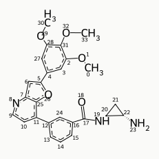 COc1cc(-c2cc3nccc(-c4cccc(C(=O)N[C@@H]5C[C@@H]5N)c4)c3o2)cc(OC)c1OC